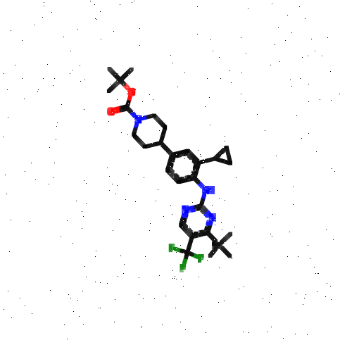 CC(C)(C)OC(=O)N1CCC(c2ccc(Nc3ncc(C(F)(F)F)[c]([Sn]([CH3])([CH3])[CH3])n3)c(C3CC3)c2)CC1